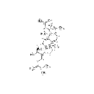 C=C(CC[C@@H](C(=O)O)[C@H]1CC[C@@]2(C)C3=CC[C@@H](C(=C)C)[C@](C)(CCC(=O)O)C3=CC[C@]12C)C(C)C